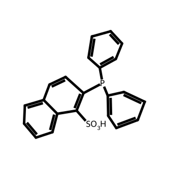 O=S(=O)(O)c1c(P(c2ccccc2)c2ccccc2)ccc2ccccc12